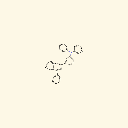 c1ccc(-c2cc(-c3cccc(N(c4ccccc4)c4ccccc4)c3)cc3ccccc23)cc1